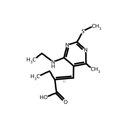 CCNc1nc(SC)nc(C)c1/C=C(\CC)C(=O)O